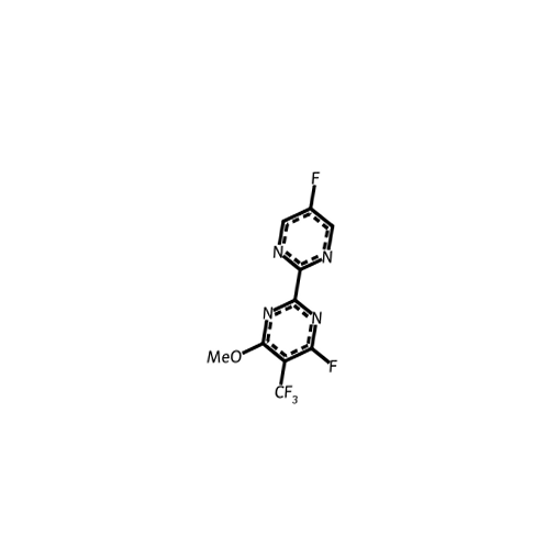 COc1nc(-c2ncc(F)cn2)nc(F)c1C(F)(F)F